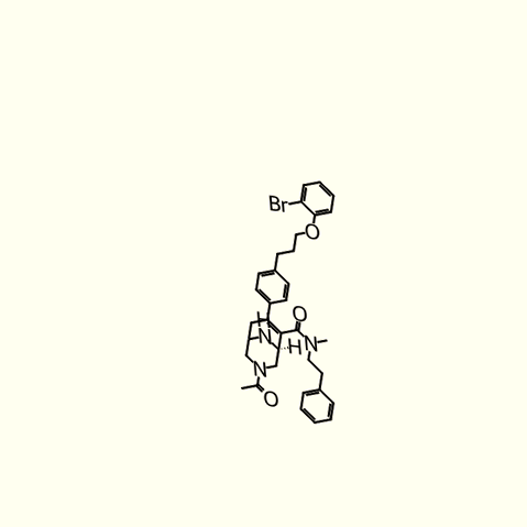 CC(=O)N1CC2CC(c3ccc(CCCOc4ccccc4Br)cc3)=C(C(=O)N(C)CCc3ccccc3)[C@@H](C1)N2